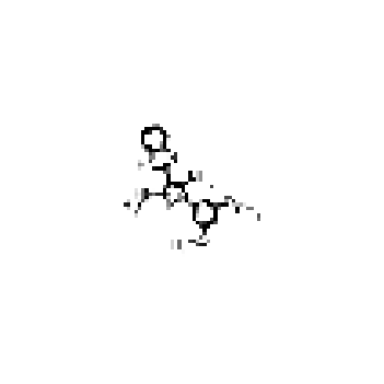 CNc1nn(-c2cc(OC)cc(OC)c2)c(N)c1-c1nc2ccccc2[nH]1